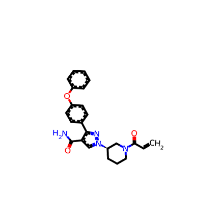 C=CC(=O)N1CCC[C@@H](n2cc(C(N)=O)c(-c3ccc(Oc4ccccc4)cc3)n2)C1